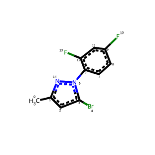 Cc1cc(Br)n(-c2ccc(F)cc2F)n1